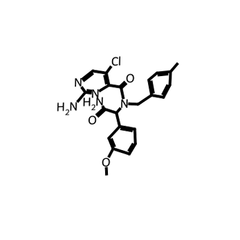 COc1cccc(C(C(N)=O)N(Cc2ccc(C)cc2)C(=O)c2nc(N)ncc2Cl)c1